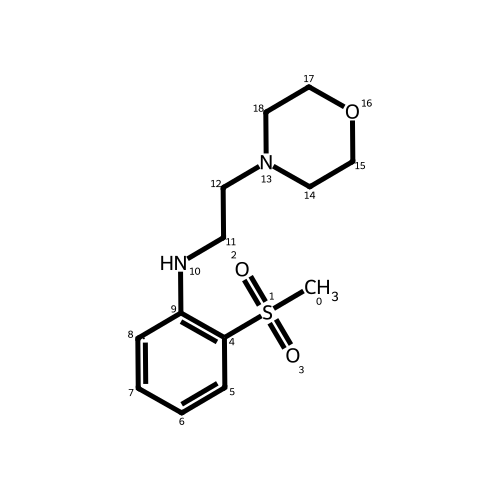 CS(=O)(=O)c1ccc[c]c1NCCN1CCOCC1